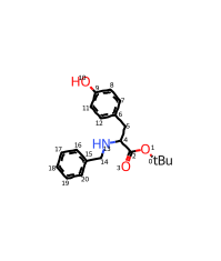 CC(C)(C)OC(=O)C(Cc1ccc(O)cc1)NCc1ccccc1